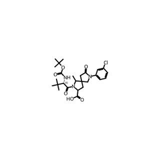 CC1N(C(=O)[C@@H](NC(=O)OC(C)(C)C)C(C)(C)C)C(C(=O)O)CC12CC(=O)N(c1cccc(Cl)c1)C2